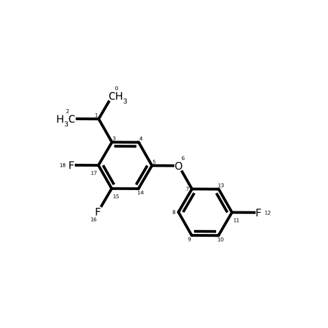 CC(C)c1cc(Oc2cccc(F)c2)cc(F)c1F